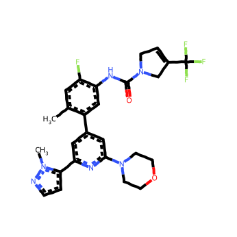 Cc1cc(F)c(NC(=O)N2CC=C(C(F)(F)F)C2)cc1-c1cc(-c2ccnn2C)nc(N2CCOCC2)c1